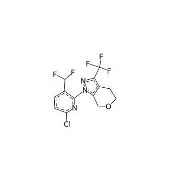 FC(F)c1ccc(Cl)nc1-n1nc(C(F)(F)F)c2c1COCC2